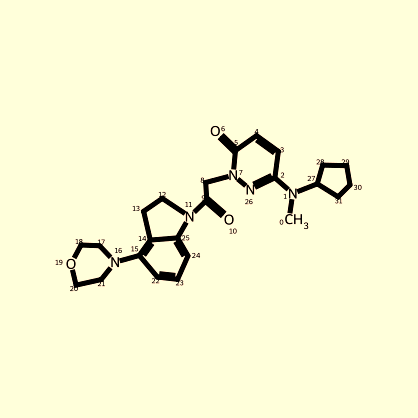 CN(c1ccc(=O)n(CC(=O)N2CCc3c(N4CCOCC4)cccc32)n1)C1CCCC1